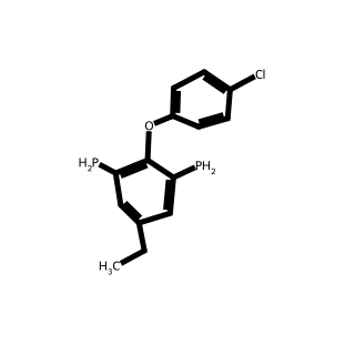 CCc1cc(P)c(Oc2ccc(Cl)cc2)c(P)c1